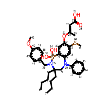 CCCCC1(CCCC)CN(c2ccccc2)c2cc(SC)c(O/C(C)=C/C(=O)O)cc2S(O)(O)N1Cc1ccc(OC)cc1